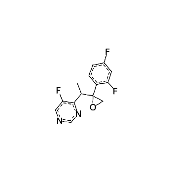 CC(c1ncncc1F)C1(c2ccc(F)cc2F)CO1